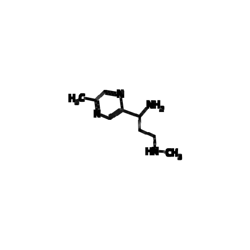 CNCCC(N)c1cnc(C)cn1